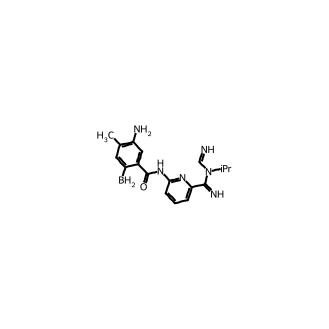 Bc1cc(C)c(N)cc1C(=O)Nc1cccc(C(=N)N(C=N)C(C)C)n1